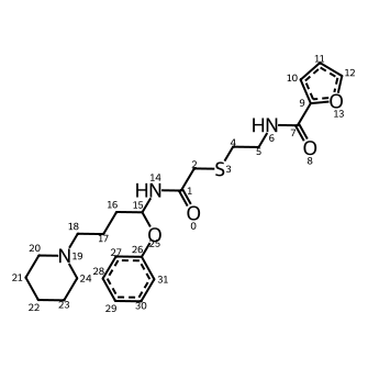 O=C(CSCCNC(=O)c1ccco1)NC(CCCN1CCCCC1)Oc1ccccc1